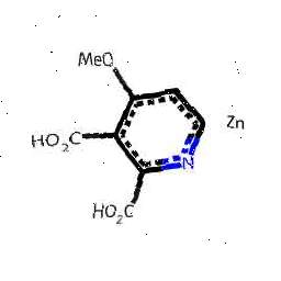 COc1ccnc(C(=O)O)c1C(=O)O.[Zn]